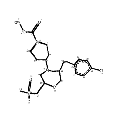 CC(C)(C)OC(=O)N1CCC(N2CC(CS(C)(=O)=O)OCC2Cc2ccc(Cl)cc2)CC1